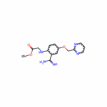 CC(C)(C)OC(=O)CNc1ccc(OCc2ncccn2)cc1C(=N)N